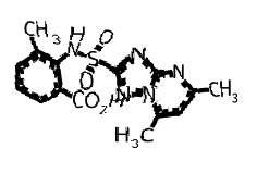 Cc1cc(C)n2nc(S(=O)(=O)Nc3c(C)cccc3C(=O)O)nc2n1